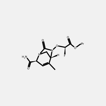 CC1=C[C@@H](C(N)=O)N2C[C@@H]1N(O[C@H](F)C(=O)OC(C)C)C2=O